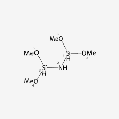 CO[SiH](N[SiH](OC)OC)OC